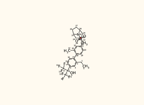 CCc1cc(C(O)(C(F)(F)F)C(F)(F)F)ccc1-c1ccc(CN2CC3CCC(C2)N3S(C)(=O)=O)cc1C